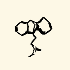 CN(C)CCC12CC(c3ccccc31)c1ccccc12